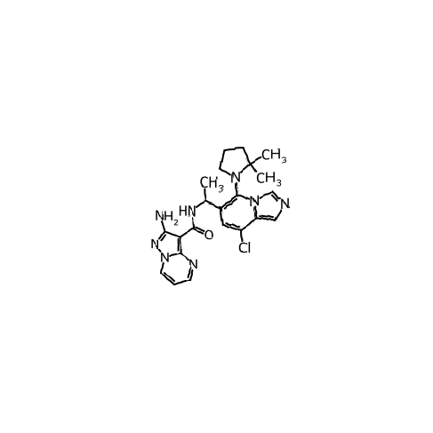 CC(NC(=O)c1c(N)nn2cccnc12)c1cc(Cl)c2cncn2c1N1CCCC1(C)C